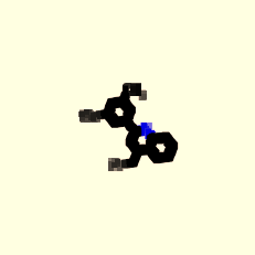 Cc1cc(-c2cc(CC(C)C)c3ccccc3n2)cc(C(C)(C)C)c1